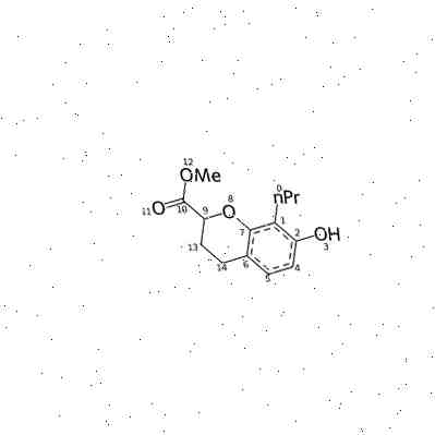 CCCc1c(O)ccc2c1OC(C(=O)OC)CC2